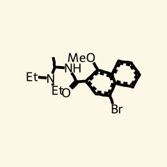 CCN(CC)C(C)NC(=O)c1cc(Br)c2ccccc2c1OC